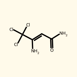 NC(=O)C=C(N)C(Cl)(Cl)Cl